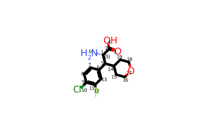 N[C@H](C(=O)O)C(c1ccc(Cl)c(F)c1)C1CCOCC1